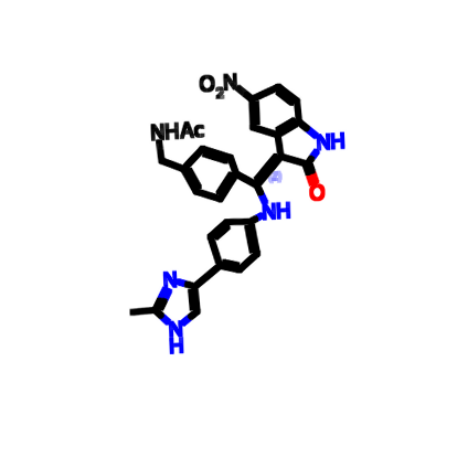 CC(=O)NCc1ccc(/C(Nc2ccc(-c3c[nH]c(C)n3)cc2)=C2/C(=O)Nc3ccc([N+](=O)[O-])cc32)cc1